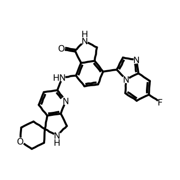 O=C1NCc2c(-c3cnc4cc(F)ccn34)ccc(Nc3ccc4c(n3)CNC43CCOCC3)c21